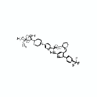 C[C@@H]1CCCN1Cc1cc(NC(=O)c2ccc(N3CCC(C(O)OC(C)(C)C)CC3)cn2)ncc1-c1ccc(C(F)(F)F)cc1